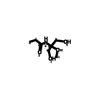 CCC(=O)NC(CO)(CO)OC